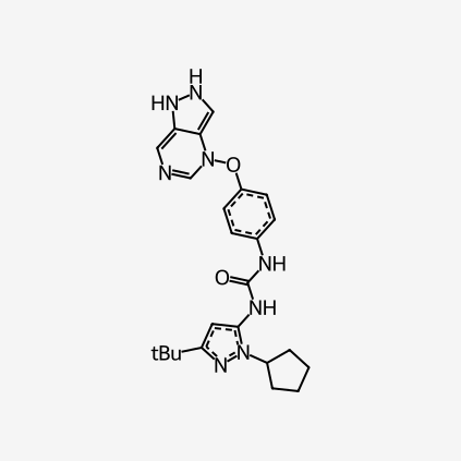 CC(C)(C)c1cc(NC(=O)Nc2ccc(ON3C=NC=C4NNC=C43)cc2)n(C2CCCC2)n1